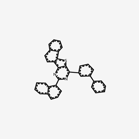 c1ccc(-c2cccc(-c3nc(-c4cccc5ccccc45)nc4c3sc3c5ccccc5ccc43)c2)cc1